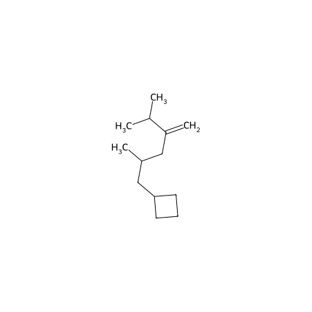 C=C(CC(C)CC1CCC1)C(C)C